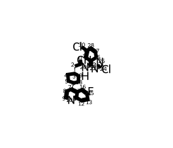 CC(C[C@H]1CC[C@@H](c2ccnc3ccc(F)cc32)CC1)Nc1nc(Cl)nc2ccc(Cl)cc12